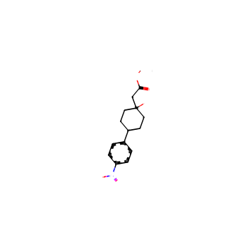 COC(=O)CC1(O)CCC(c2ccc([N+](=O)[O-])cc2)CC1